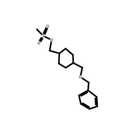 CS(=O)(=O)OCC1CCC(COCc2ccccc2)CC1